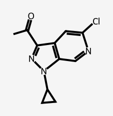 CC(=O)c1nn(C2CC2)c2cnc(Cl)cc12